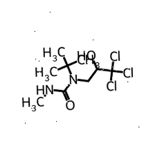 CNC(=O)N(CC(O)C(Cl)(Cl)Cl)C(C)(C)C